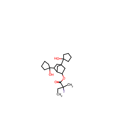 CCC(C)(I)C(=O)OC1CC2(C3(O)CCCC3)CC1C(C1(O)CCCC1)C2